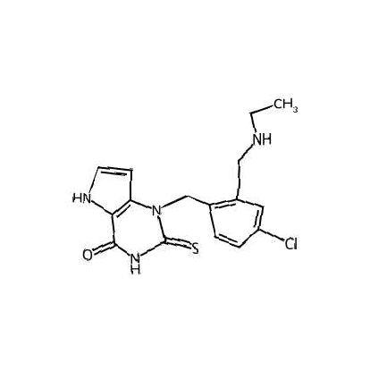 CCNCc1cc(Cl)ccc1Cn1c(=S)[nH]c(=O)c2[nH]ccc21